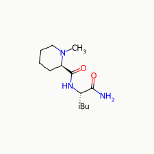 CCC(C)[C@H](NC(=O)[C@H]1CCCCN1C)C(N)=O